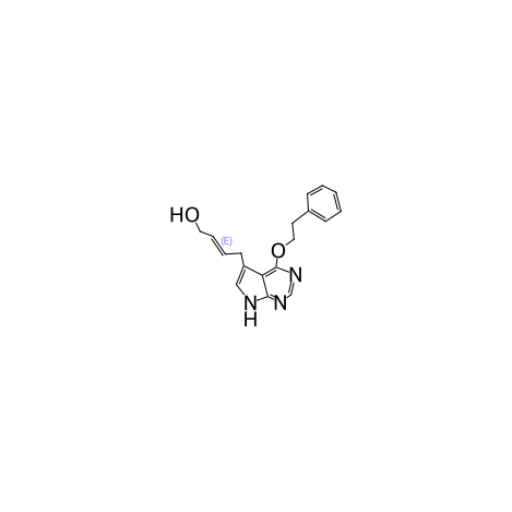 OC/C=C/Cc1c[nH]c2ncnc(OCCc3ccccc3)c12